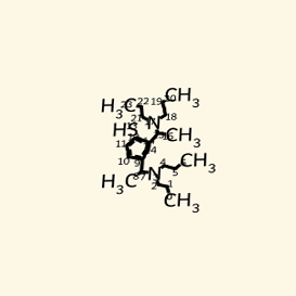 CCCN(CCC)C(C)c1ccc(S)c(C(C)N(CCC)CCC)c1